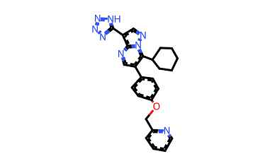 c1ccc(COc2ccc(-c3cnc4c(-c5nnn[nH]5)cnn4c3C3CCCCC3)cc2)nc1